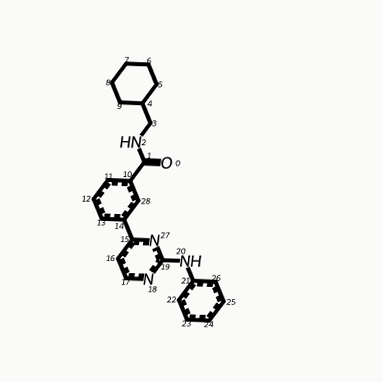 O=C(NCC1CCCCC1)c1cccc(-c2ccnc(Nc3ccccc3)n2)c1